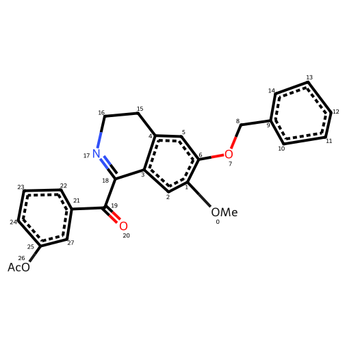 COc1cc2c(cc1OCc1ccccc1)CCN=C2C(=O)c1cccc(OC(C)=O)c1